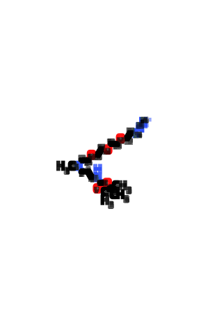 CN(CCCNC(=O)OC(C)(C)C)CCOCCOCCOCCN=[N+]=[N-]